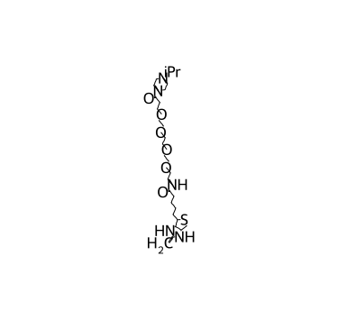 C=C1NC2CSC(CCCCC(=O)NCCOCCOCCOCCOCCC(=O)N3CCN(C(C)C)CC3)C2N1